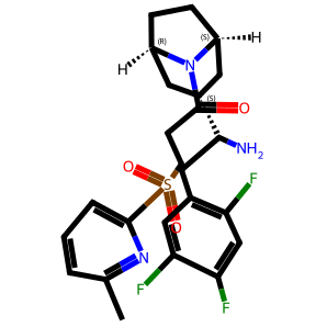 Cc1cccc(S(=O)(=O)CCC(=O)N2[C@@H]3CC[C@H]2C[C@H](C(N)Cc2cc(F)c(F)cc2F)C3)n1